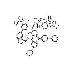 CC(C)(C)c1ccc(N2c3cc4c(cc3B3c5cc(-c6ccccc6)ccc5N(c5ccc(-c6ccccc6)cc5)c5cc(N6c7ccc(C(C)(C)C)cc7C7(C)CCCC67C)cc2c53)CCC4)c(-c2ccccc2)c1